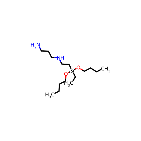 CCCCO[Si](CC)(CCNCCCN)OCCCC